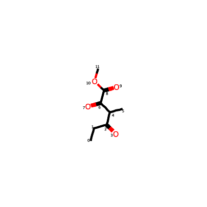 CCC(=O)C(C)C(=O)C(=O)OC